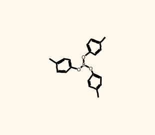 Cc1ccc(OB(Oc2ccc(C)cc2)Oc2ccc(C)cc2)cc1